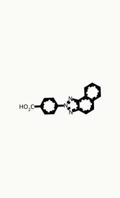 O=C(O)c1ccc(-n2nc3ccc4ccccc4c3n2)cc1